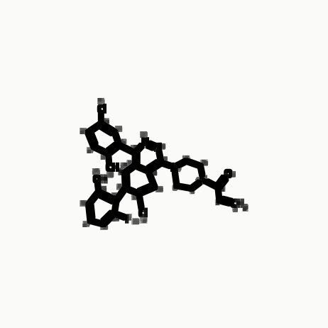 C=CC(=O)N1CCN(c2nnc(-c3cc(Cl)ccc3C)c3cc(-c4c(O)cccc4F)c(Cl)cc23)CC1